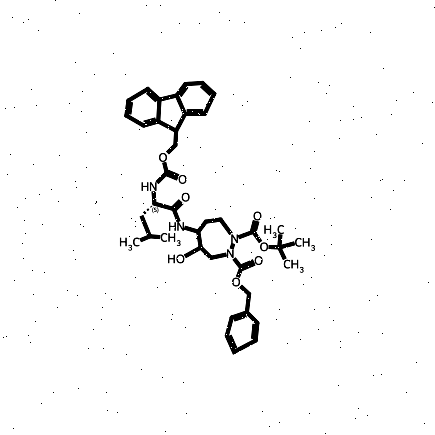 CC(C)C[C@H](NC(=O)OCC1c2ccccc2-c2ccccc21)C(=O)NC1CCN(C(=O)OC(C)(C)C)N(C(=O)OCc2ccccc2)CC1O